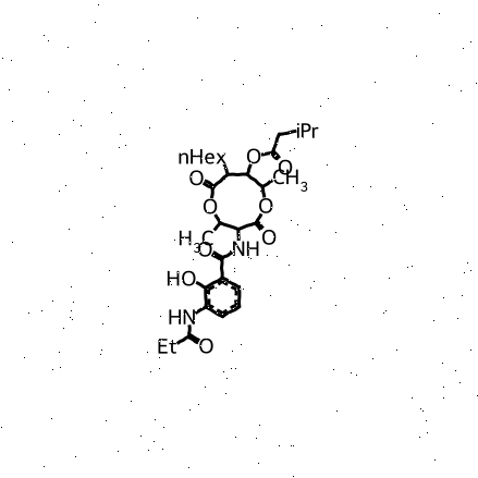 CCCCCCC1C(=O)OC(C)C(NC(=O)c2cccc(NC(=O)CC)c2O)C(=O)OC(C)C1OC(=O)CC(C)C